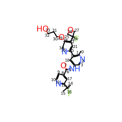 Cc1ncc(NC(=O)c2ccnc(C(C)(C)F)c2)cc1-c1cc(C2(F)COC2)c(OCCCO)cn1